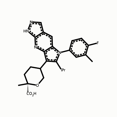 Cc1cc(-n2c(C(C)C)c(C3CC[C@@](C)(C(=O)O)OC3)c3nc4[nH]ncc4cc32)ccc1F